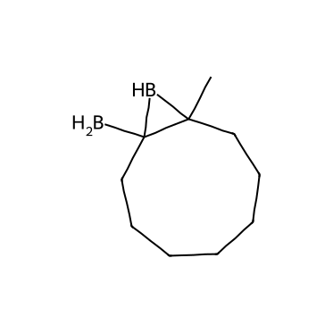 BC12BC1(C)CCCCCCC2